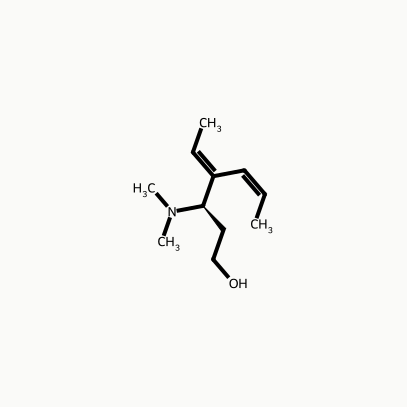 C/C=C\C(=C/C)[C@@H](CCO)N(C)C